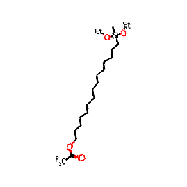 CCO[Si](C)(CCCCCCCCCCCCCCCOC(=O)C(F)(F)F)OCC